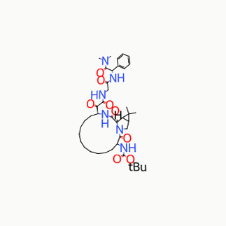 CN(C)C(=O)[C@@H](NC(=O)CNC(=O)C(=O)[C@@H]1CCCCCCCCCCC(NC(=O)OC(C)(C)C)C(=O)N2CC3C([C@H]2C(=O)N1)C3(C)C)c1ccccc1